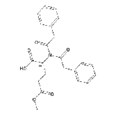 COC(=O)CC[C@H](C(=O)O)N(C(=O)Cc1ccccc1)C(=O)Cc1ccccc1